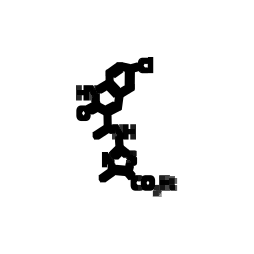 CCOC(=O)c1sc(NC(C)c2cc3cc(Cl)ccc3[nH]c2=O)nc1C